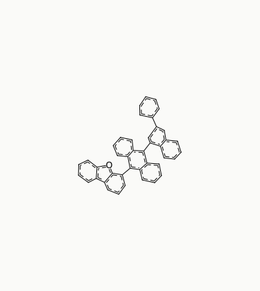 c1ccc(-c2cc(-c3c4ccccc4c(-c4cccc5c4oc4ccccc45)c4ccccc34)c3ccccc3c2)cc1